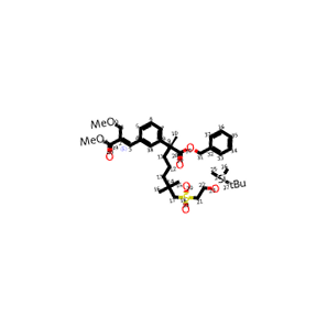 COC/C(=C\c1cccc([C@@](C)(CCCC(C)(C)CS(=O)(=O)CCO[Si](C)(C)C(C)(C)C)C(=O)OCc2ccccc2)c1)C(=O)OC